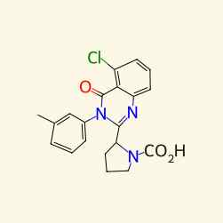 Cc1cccc(-n2c(C3CCCN3C(=O)O)nc3cccc(Cl)c3c2=O)c1